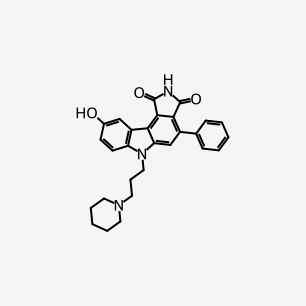 O=C1NC(=O)c2c1c(-c1ccccc1)cc1c2c2cc(O)ccc2n1CCCN1CCCCC1